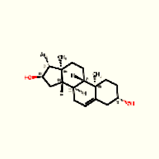 CC(=O)[C@H]1[C@H](O)C[C@H]2[C@@H]3CC=C4C[C@@H](O)CC[C@]4(C)[C@H]3CC[C@@]21C